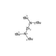 CC(C)(C)[N]([Zn][N](C(C)(C)C)C(C)(C)C)C(C)(C)C